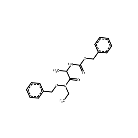 CC(NC(=O)OCc1ccccc1)C(=O)N(CC(F)(F)F)OCc1ccccc1